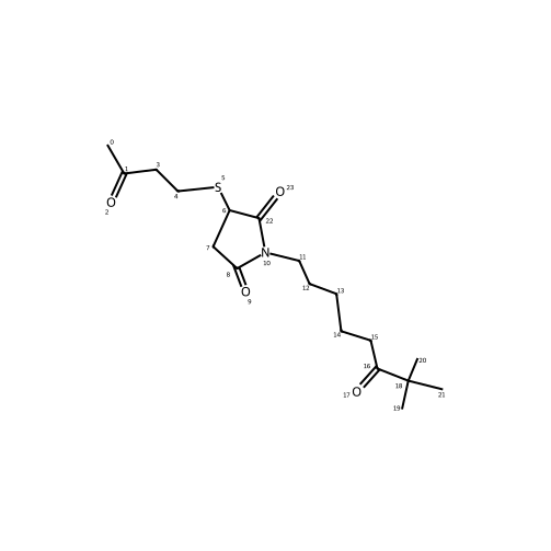 CC(=O)CCSC1CC(=O)N(CCCCCC(=O)C(C)(C)C)C1=O